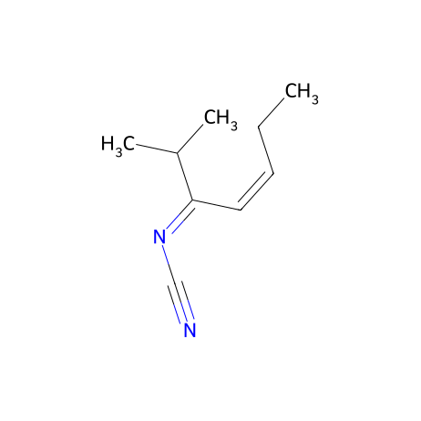 CC/C=C\C(=N/C#N)C(C)C